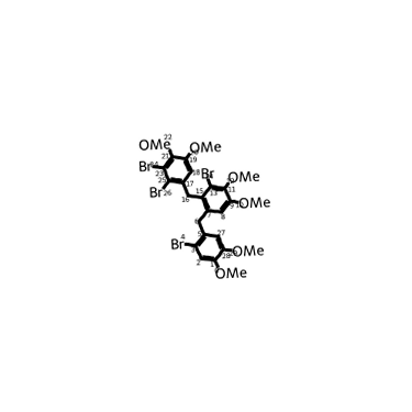 COc1cc(Br)c(Cc2cc(OC)c(OC)c(Br)c2Cc2cc(OC)c(OC)c(Br)c2Br)cc1OC